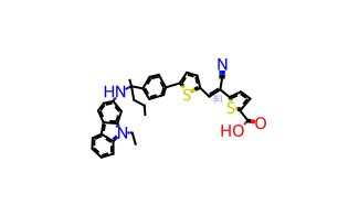 CCCC(C)(Nc1ccc2c3ccccc3n(CC)c2c1)c1ccc(-c2ccc(/C=C(\C#N)c3ccc(C(=O)O)s3)s2)cc1